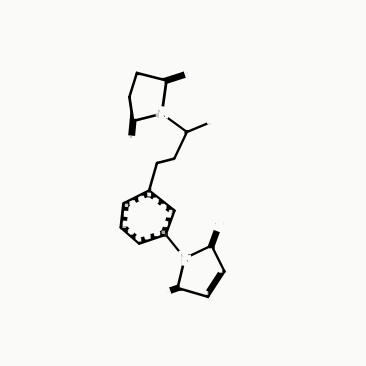 O=C(O)C(CCc1cccc(N2C(=O)C=CC2=O)c1)N1C(=O)CCC1=O